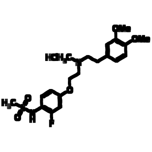 COc1ccc(CCN(C)CCOc2ccc(NS(C)(=O)=O)c(F)c2)cc1OC.Cl